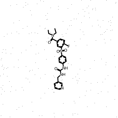 CCN(CC)C(=O)c1ccc(F)c(S(=O)(=O)c2ccc(NC(=O)NCc3cccnc3)cc2)c1